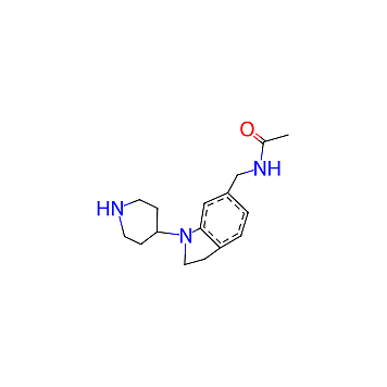 CC(=O)NCc1ccc2c(c1)N(C1CCNCC1)CC2